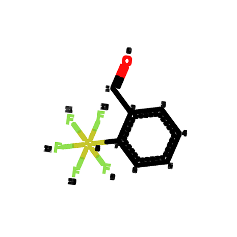 O=Cc1ccccc1S(F)(F)(F)(F)F